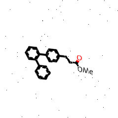 COC(=O)CCc1ccc(-c2ccccc2-c2ccccc2)cc1